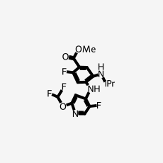 COC(=O)c1cc(NC(C)C)c(Nc2cc(OC(F)F)ncc2F)cc1F